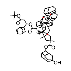 CC1C2CCC(C2)C1CC(C)(CC(C)(CC(C)(CC(C)(C)C(=O)OCC(=O)OC(CC(=O)OC(C)(C)C)C1CC2C=CC1C2)C(=O)OC1C2CC3CC1CC(O)(C3)C2)C(=O)OC1C2CC3C(=O)OC1C3C2)C(=O)OC1(C)C2CC3CC(C2)CC1C3